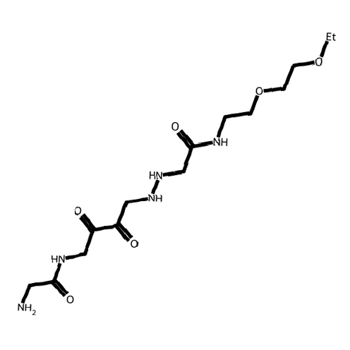 CCOCCOCCNC(=O)CNNCC(=O)C(=O)CNC(=O)CN